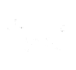 BC(C)NCCOC(C)(C)CCOC(C)(C)CCNC(C)(C)C